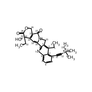 CCc1c2c(nc3cccc(C#C[Si](C)(C)C)c13)-c1cc3c(c(=O)n1C2)COC(=O)[C@]3(O)CC